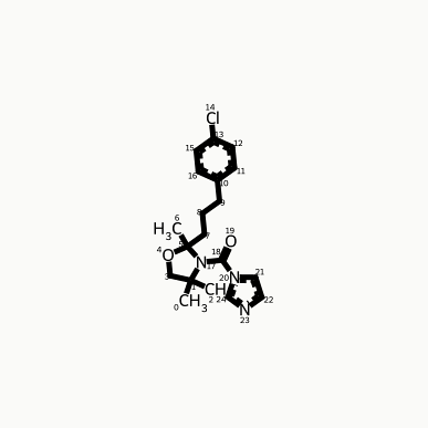 CC1(C)COC(C)(CCCc2ccc(Cl)cc2)N1C(=O)n1ccnc1